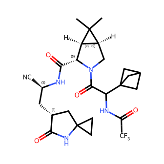 CC1(C)[C@@H]2[C@@H](C(=O)N[C@H](C#N)C[C@@H]3CC4(CC4)NC3=O)N(C(=O)C(NC(=O)C(F)(F)F)C34CC(C3)C4)C[C@@H]21